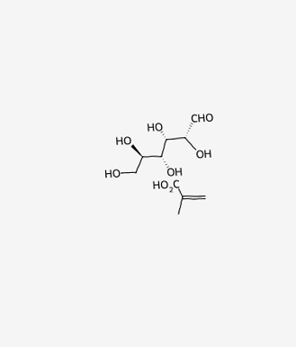 C=C(C)C(=O)O.O=C[C@H](O)[C@@H](O)[C@H](O)[C@H](O)CO